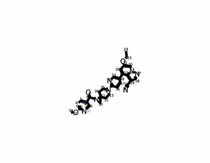 C=C(/N=C\C(=C/C)C(=O)N1CC12CCN(c1ccc(-c3cc(OCC)cn4ncc(C#N)c34)cn1)CC2)OC